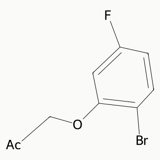 CC(=O)COc1cc(F)ccc1Br